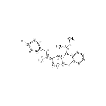 CC[C@@H](C)Oc1ccccc1C[C@H](C)CNC(=O)[C@H](C)Cc1ccc(F)cc1